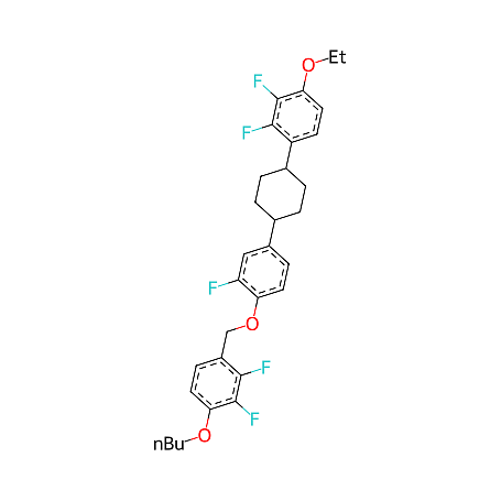 CCCCOc1ccc(COc2ccc(C3CCC(c4ccc(OCC)c(F)c4F)CC3)cc2F)c(F)c1F